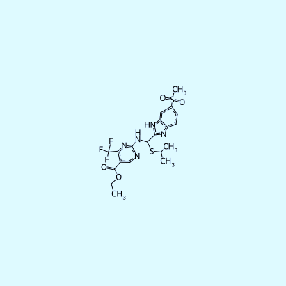 CCOC(=O)c1cnc(NC(SC(C)C)c2nc3ccc(S(C)(=O)=O)cc3[nH]2)nc1C(F)(F)F